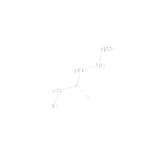 CCNC(=S)NNNC